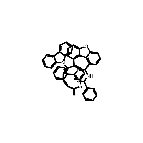 C=C1/C=C\C=C(n2c3ccccc3c3ccccc32)C(c2cccc3oc4cccc(C5=NC(c6ccccc6)=NC(c6ccccc6)N5)c4c23)=C/C=C(\C)S1